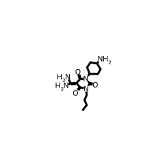 CCCCN1C(=O)C(=C(N)N)C(=O)N(C2CCC(N)CC2)C1=O